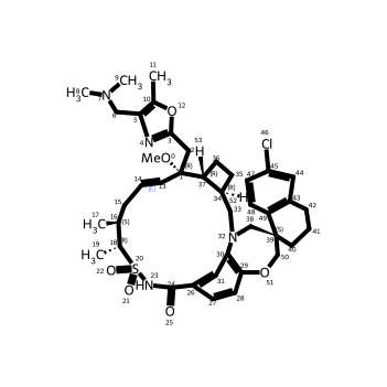 CO[C@@]1(Cc2nc(CN(C)C)c(C)o2)/C=C/C[C@H](C)[C@@H](C)S(=O)(=O)NC(=O)c2ccc3c(c2)N(C[C@@H]2CC[C@H]21)C[C@@]1(CCCc2cc(Cl)ccc21)CO3